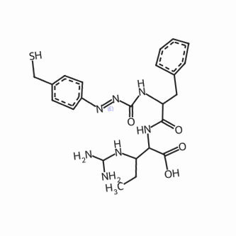 CCC(NC(N)N)C(NC(=O)C(Cc1ccccc1)NC(=O)/N=N/c1ccc(CS)cc1)C(=O)O